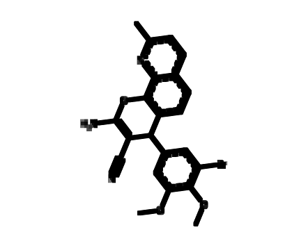 COc1cc(C2C(C#N)=C(N)Oc3c2ccc2ccc(C)nc32)cc(Br)c1OC